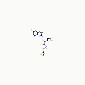 O=C(O)c1cc2cc(Cl)ccc2nc1NCC(C(=O)NC(Cc1cccs1)C(=O)O)c1cccs1